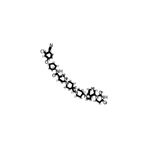 N#Cc1ccc(O[C@H]2CC[C@H](NC(=O)c3ccc(N4CCC(F)(CN5CCC(n6ccc7c(N8CCC(=O)NC8=O)cncc76)CC5)CC4)nn3)CC2)cc1Cl